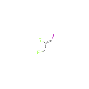 FCC(F)=CI